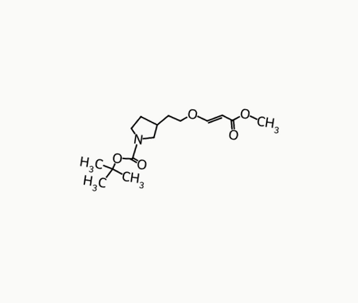 COC(=O)C=COCCC1CCN(C(=O)OC(C)(C)C)C1